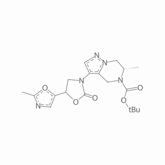 Cc1ncc(C2CN(c3cnn4c3CN(C(=O)OC(C)(C)C)[C@@H](C)C4)C(=O)O2)o1